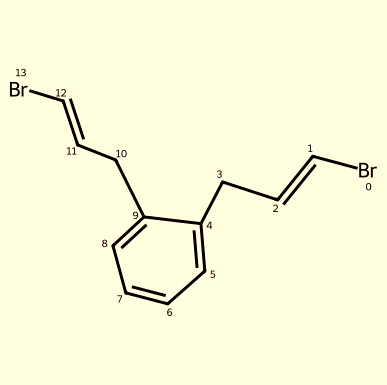 BrC=CCc1ccccc1CC=CBr